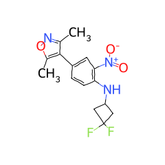 Cc1noc(C)c1-c1ccc(NC2CC(F)(F)C2)c([N+](=O)[O-])c1